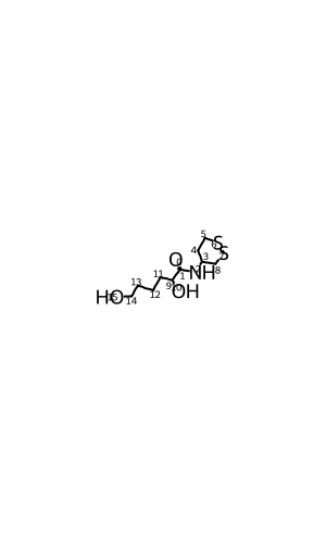 O=C(NC1CCSSC1)C(O)CCCCO